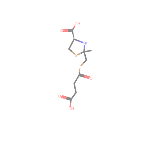 CC1(CSC(=O)CCC(=O)O)N[C@H](C(=O)O)CS1